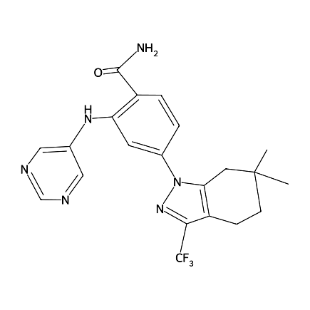 CC1(C)CCc2c(C(F)(F)F)nn(-c3ccc(C(N)=O)c(Nc4cncnc4)c3)c2C1